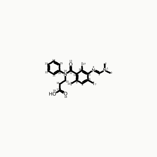 CN(C)C=Nc1c(I)cc(I)c(C(=O)N(CCC(=O)O)c2ccccc2)c1I